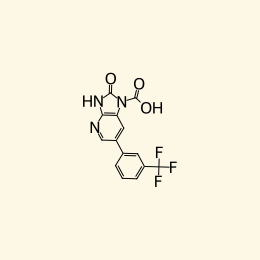 O=C(O)n1c(=O)[nH]c2ncc(-c3cccc(C(F)(F)F)c3)cc21